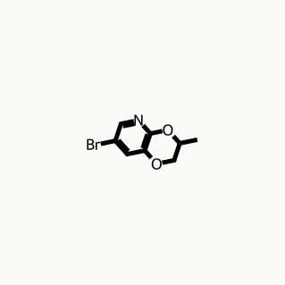 CC1COc2cc(Br)cnc2O1